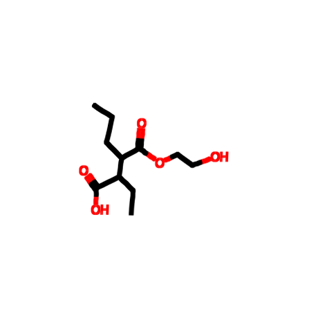 CCCC(C(=O)OCCO)C(CC)C(=O)O